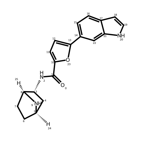 O=C(N[C@@H]1C[C@H]2CC[C@@H]1N2)c1ccc(-c2ccc3cc[nH]c3c2)o1